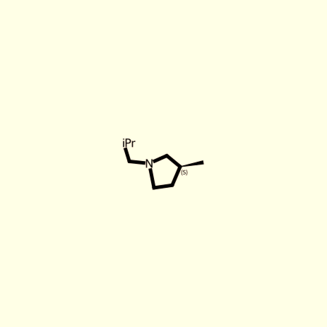 CC(C)CN1CC[C@H](C)C1